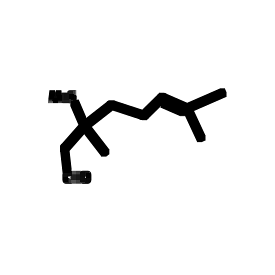 CSC(C)(CC=O)CCC=C(C)C